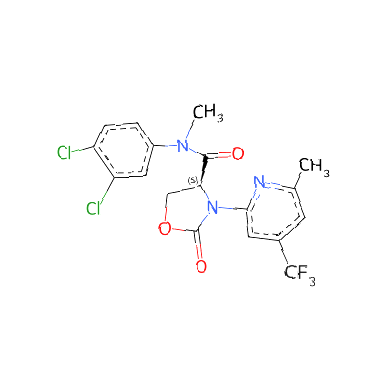 Cc1cc(C(F)(F)F)cc(N2C(=O)OC[C@H]2C(=O)N(C)c2ccc(Cl)c(Cl)c2)n1